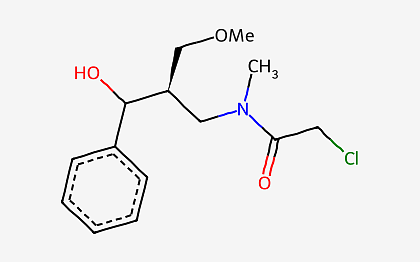 COC[C@@H](CN(C)C(=O)CCl)C(O)c1ccccc1